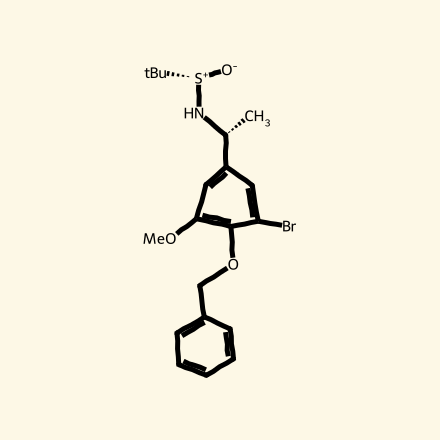 COc1cc([C@@H](C)N[S@@+]([O-])C(C)(C)C)cc(Br)c1OCc1ccccc1